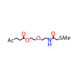 CSCC(=O)NCCOCCOC(=O)CCC(C)=O